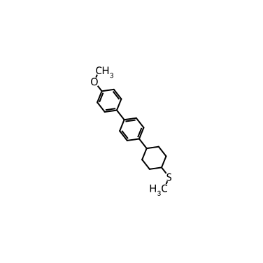 COc1ccc(-c2ccc(C3CCC(SC)CC3)cc2)cc1